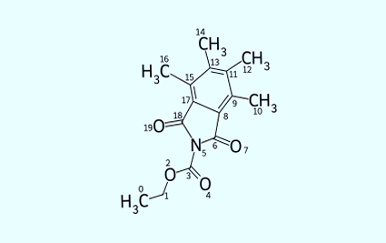 CCOC(=O)N1C(=O)c2c(C)c(C)c(C)c(C)c2C1=O